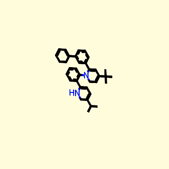 CC(C)C1=CC=C(c2ccccc2N2CC=C(C(C)(C)C)C=C2c2cccc(C3=CC=CCC3)c2)NC1